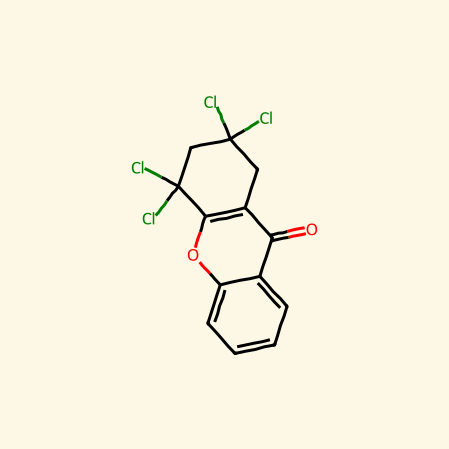 O=c1c2c(oc3ccccc13)C(Cl)(Cl)CC(Cl)(Cl)C2